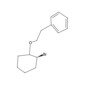 Br[C@H]1CCCCC1OCCc1ccccc1